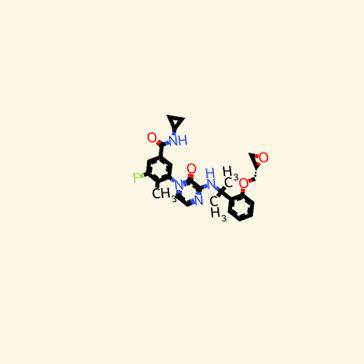 Cc1c(F)cc(C(=O)NC2CC2)cc1-n1ccnc(NC(C)(C)c2ccccc2OC[C@@H]2CO2)c1=O